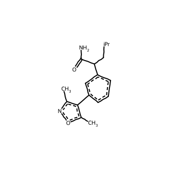 Cc1noc(C)c1-c1cccc(C(CC(C)C)C(N)=O)c1